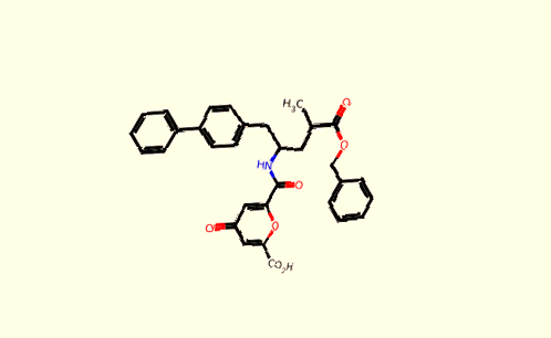 CC(CC(Cc1ccc(-c2ccccc2)cc1)NC(=O)c1cc(=O)cc(C(=O)O)o1)C(=O)OCc1ccccc1